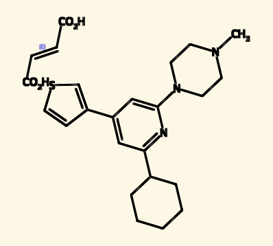 CN1CCN(c2cc(-c3ccsc3)cc(C3CCCCC3)n2)CC1.O=C(O)/C=C/C(=O)O